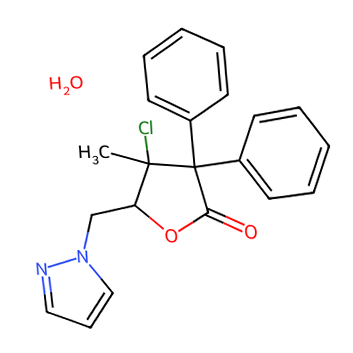 CC1(Cl)C(Cn2cccn2)OC(=O)C1(c1ccccc1)c1ccccc1.O